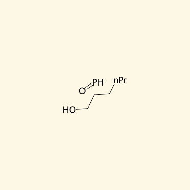 CCCCCCO.O=P